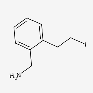 NCc1ccccc1CCI